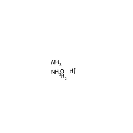 N.O.[AlH3].[Hf]